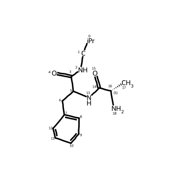 CC(C)CNC(=O)C(Cc1ccccc1)NC(=O)[C@H](C)N